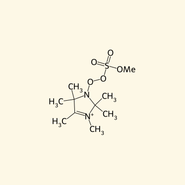 COS(=O)(=O)OON1C(C)(C)C(C)=[N+](C)C1(C)C